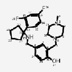 CN1CCN(Cc2cc(CNC3(c4ccc(F)cc4F)CCCC3)ccc2O)CC1